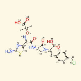 CC(C)(O/N=C(\C(=O)NC1CN(/C(=C/c2ccc(CCl)cc2)C(=O)O)C1=O)c1csc(N)n1)C(=O)O